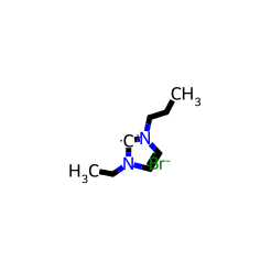 CCCN1[C+]N(CC)C=C1.[Br-]